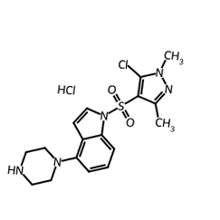 Cc1nn(C)c(Cl)c1S(=O)(=O)n1ccc2c(N3CCNCC3)cccc21.Cl